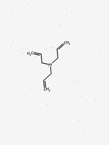 C=C[CH2][Pt]([CH2]C=C)[CH2]C=C